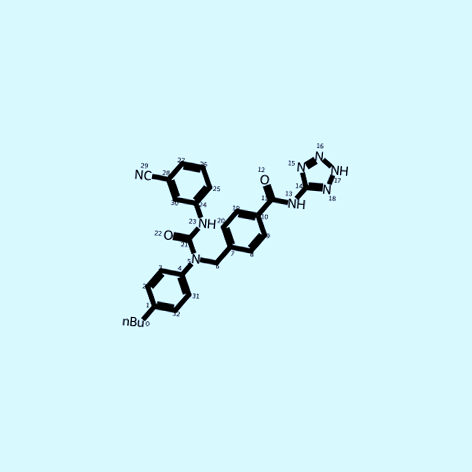 CCCCc1ccc(N(Cc2ccc(C(=O)Nc3nn[nH]n3)cc2)C(=O)Nc2cccc(C#N)c2)cc1